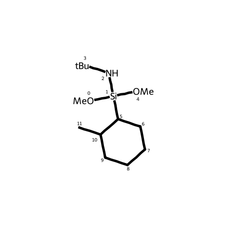 CO[Si](NC(C)(C)C)(OC)C1CCCCC1C